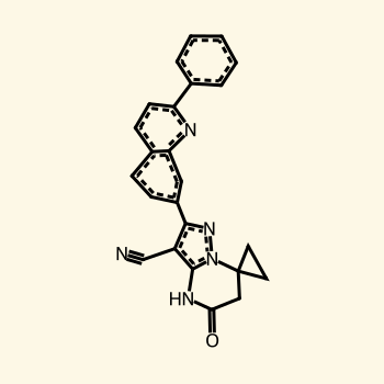 N#Cc1c(-c2ccc3ccc(-c4ccccc4)nc3c2)nn2c1NC(=O)CC21CC1